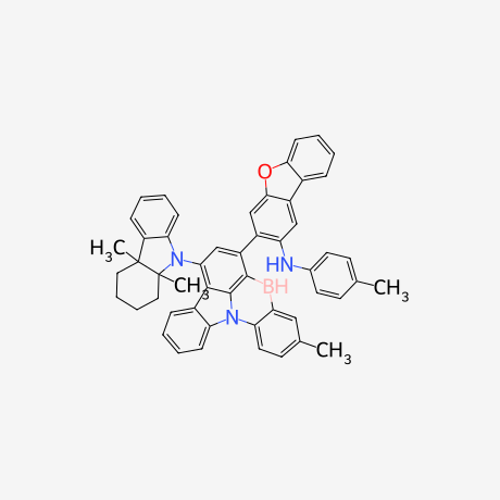 Cc1ccc(Nc2cc3c(cc2-c2cc(N4c5ccccc5C5(C)CCCCC45C)c4c5ccccc5n5c4c2Bc2cc(C)ccc2-5)oc2ccccc23)cc1